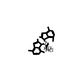 CC1=Cc2c(C)ccc(C)c2[CH]1[Zr]1([CH]2C(C)=Cc3c(C)ccc(C)c32)[CH2][CH2]1.Cl.Cl